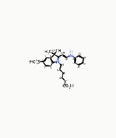 CC1(C)c2cc(S(=O)(=O)O)ccc2N(CCCCCC(=O)O)C1/C=C/Nc1ccccc1